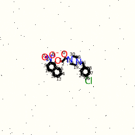 O=C(COc1c([N+](=O)[O-])ccc2ccccc12)N1CCN(Cc2ccc(Cl)cc2)CC1